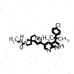 CCNC(=O)N1CCC2(CCn3nc(-c4cnc5[nH]cc(C(C)(C)c6ccc(Cl)cc6)c5c4)cc32)C1